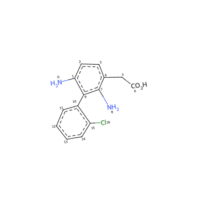 Nc1ccc(CC(=O)O)c(N)c1-c1ccccc1Cl